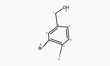 OCc1ccc(I)c(Br)c1